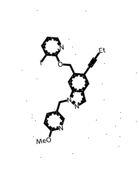 CCC#Cc1cc2cnn(Cc3ccc(OC)nc3)c2cc1COc1ncccc1I